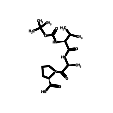 CC(C)[C@H](NC(=O)OC(C)(C)C)C(=O)N[C@@H](C)C(=O)N1CCC[C@H]1C(=O)O